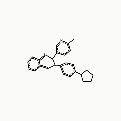 Cc1ccc(C2N=c3ccccc3=CN2c2ccc(C3CCCC3)cc2)cn1